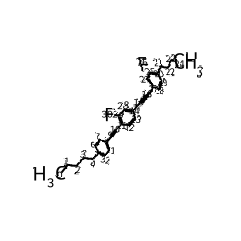 CCCCCc1ccc(C#Cc2ccc(C#Cc3ccc(CCCC)c(F)c3)cc2F)cc1